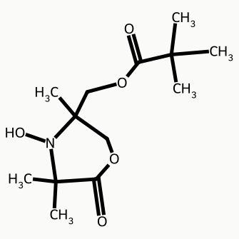 CC(C)(C)C(=O)OCC1(C)COC(=O)C(C)(C)N1O